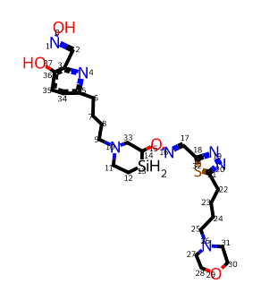 O/N=C/c1nc(CCCCN2CC[SiH2]C(O/N=C/c3nnc(CCCCN4CCOCC4)s3)C2)ccc1O